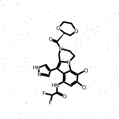 O=C(Nc1cc(Cl)c(Cl)c2c1c(-c1cn[nH]c1)c1n2CCN(C(=O)[C@@H]2COCCO2)C1)C(F)F